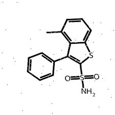 Cc1cccc2sc(S(N)(=O)=O)c(-c3ccccc3)c12